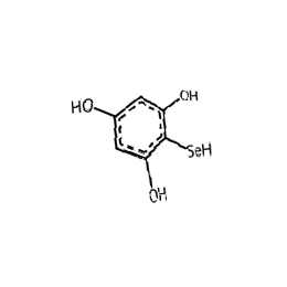 Oc1cc(O)c([SeH])c(O)c1